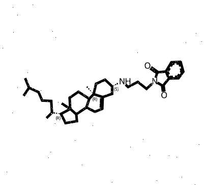 CC(C)CCCC(C)[C@H]1CCC2C3CC=C4C[C@@H](NCCCN5C(=O)c6ccccc6C5=O)CC[C@]4(C)C3CCC21C